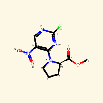 COC(=O)[C@H]1CCCN1c1nc(Cl)ncc1[N+](=O)[O-]